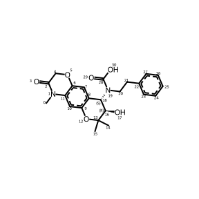 CN1C(=O)COc2cc3c(cc21)OC(C)(C)[C@H](O)[C@H]3N(CCc1ccccc1)C(=O)O